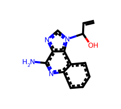 C=CC(O)n1cnc2c(N)nc3ccccc3c21